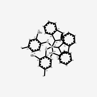 CC1=Cc2ccccc2[CH]1[Zr]([O]c1ccc(C)cc1C(C)(C)C)([O]c1ccc(C)cc1C(C)(C)C)([CH]1C(C)=Cc2ccccc21)[SiH](C)c1ccccc1